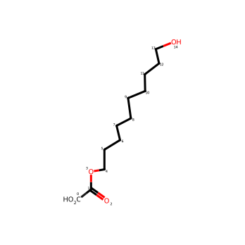 O=C(O)C(=O)OCCCCCCCCCCO